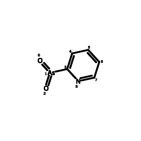 O=[As](=O)c1ccccn1